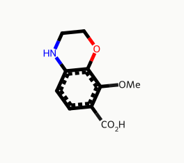 COc1c(C(=O)O)ccc2c1OCCN2